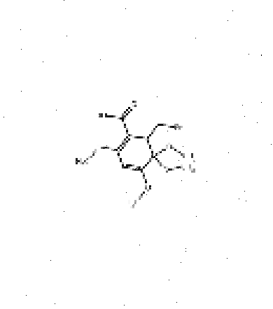 COC1=CC(OC)=C(C(=O)O)C(CBr)C1(OC)OC